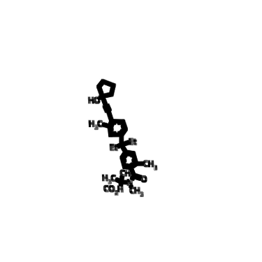 CCC(CC)(c1ccc(C#CC2(O)CCCC2)c(C)c1)c1ccc(C(=O)N(C)C(C)(C)C(=O)O)c(C)c1